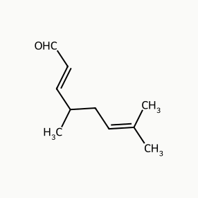 CC(C)=CCC(C)/C=C/C=O